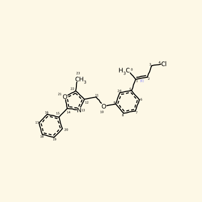 C/C(=C\CCl)c1cccc(OCc2nc(-c3ccccc3)oc2C)c1